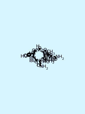 CCC(C)C1NC[C@@](C=O)(Cc2ccc(O)cc2)NC(=O)CNC(=O)CC[C@@H](C(=O)N(C)CC(=O)N[C@H](C(=O)NCC(N)=O)C(C)(C)C)NC(=O)[C@H](CC(N)=O)NC[C@](C=O)(CCC(N)=O)NC1=O